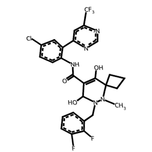 CN1N(Cc2cccc(F)c2F)C(O)C(C(=O)Nc2ccc(Cl)cc2-c2cc(C(F)(F)F)ncn2)=C(O)C12CCC2